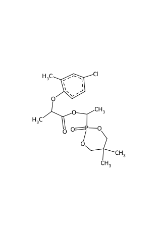 Cc1cc(Cl)ccc1OC(C)C(=O)OC(C)P1(=O)OCC(C)(C)CO1